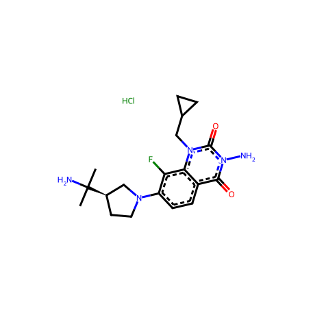 CC(C)(N)[C@@H]1CCN(c2ccc3c(=O)n(N)c(=O)n(CC4CC4)c3c2F)C1.Cl